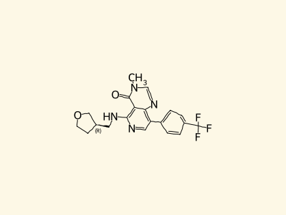 Cn1cnc2c(-c3ccc(C(F)(F)F)cc3)cnc(NC[C@H]3CCOC3)c2c1=O